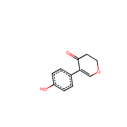 O=C1CCOC=C1c1ccc(O)cc1